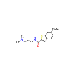 CCN(CC)CCCNC(=O)c1cc2ccc(OC)cc2s1